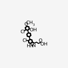 COc1cc(O)c(-c2ccc(-c3cc4c(CCC(=O)O)n[nH]c4cc3Cl)cc2)c(Cl)c1